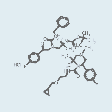 CC(C)(CN(CC(=O)c1ccc(F)cc1)C(=O)OCc1ccccc1)NC(=O)OC(C)(C)C.CN1CC(c2ccc(F)cc2)N(C(=O)NCCOCC2CC2)C(C)(C)C1.Cl